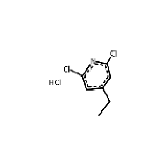 CCc1cc(Cl)nc(Cl)c1.Cl